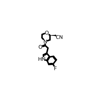 N#CC[C@H]1CN(C(=O)Cc2c[nH]c3cc(F)ccc23)CCO1